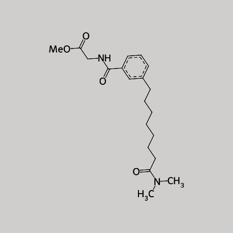 COC(=O)CNC(=O)c1cccc(CCCCCCCC(=O)N(C)C)c1